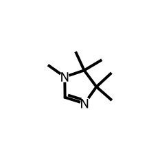 CN1C=NC(C)(C)C1(C)C